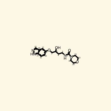 O=C(NCCC(O)COc1ccc2[nH]ncc2c1)N1CCOCC1